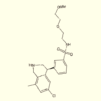 COCCOCCNS(=O)(=O)c1cccc([C@@H]2CNCc3c(C)cc(Cl)cc32)c1